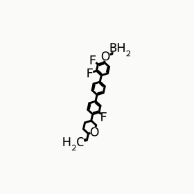 BCOc1ccc(-c2ccc(-c3ccc(C4CCC(C=C)OC4)c(F)c3)cc2)c(F)c1F